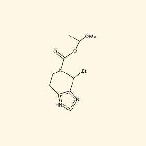 CCC1c2nc[nH]c2CCN1C(=O)OC(C)OC